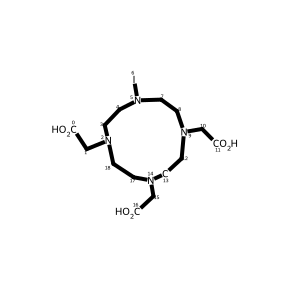 O=C(O)CN1CCN(I)CCN(CC(=O)O)CCN(CC(=O)O)CC1